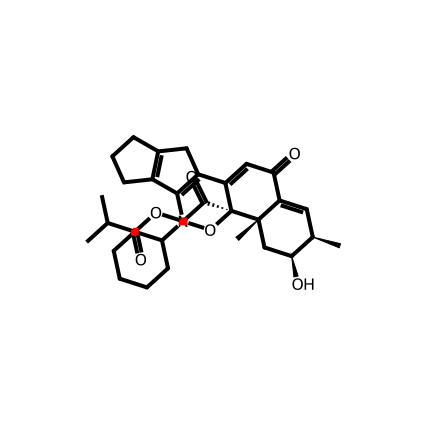 CC(C)C(=O)OCC(=O)[C@]12ON(C3CCCCC3)C3=C(CC4=C3CCC4)C1=CC(=O)C1=C[C@@H](C)[C@@H](O)C[C@@]12C